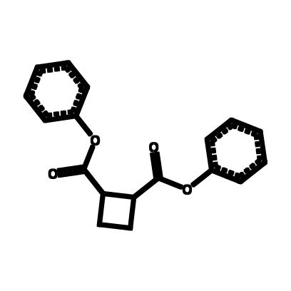 O=C(Oc1ccccc1)C1CCC1C(=O)Oc1ccccc1